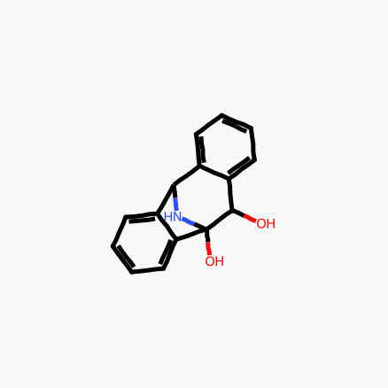 OC1c2ccccc2C2NC1(O)c1ccccc12